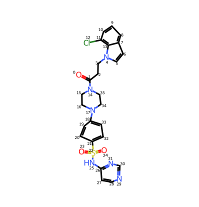 O=C(CCn1ccc2cccc(Cl)c21)N1CCN(c2ccc(S(=O)(=O)Nc3ccncn3)cc2)CC1